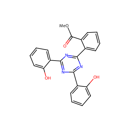 COC(=O)c1ccccc1-c1nc(-c2ccccc2O)nc(-c2ccccc2O)n1